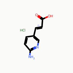 Cl.Nc1ccc(/C=C/C(=O)O)cn1